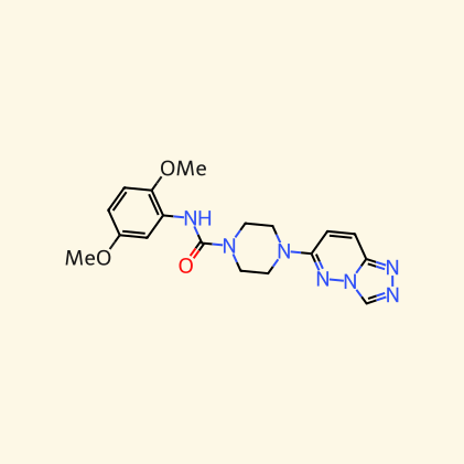 COc1ccc(OC)c(NC(=O)N2CCN(c3ccc4nncn4n3)CC2)c1